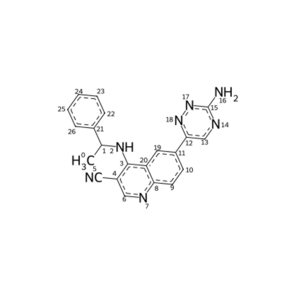 CC(Nc1c(C#N)cnc2ccc(-c3cnc(N)nn3)cc12)c1ccccc1